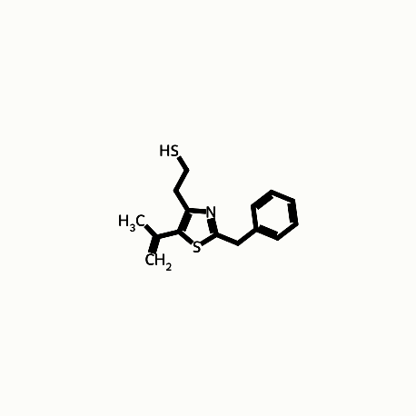 C=C(C)c1sc(Cc2ccccc2)nc1CCS